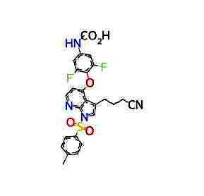 Cc1ccc(S(=O)(=O)n2cc(CCCC#N)c3c(Oc4c(F)cc(NC(=O)O)cc4F)ccnc32)cc1